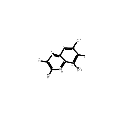 Cc1c(Cl)cc2nc(Cl)c(Cl)nc2c1[N+](=O)[O-]